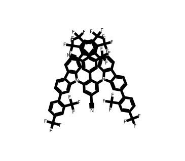 N#Cc1cc(-c2c(-n3c4cc(-c5ccc(C(F)(F)F)cc5C(F)(F)F)ccc4c4ccc(-c5ccc(C(F)(F)F)cc5C(F)(F)F)cc43)cc(C#N)cc2-n2c3cc(-c4ccc(C(F)(F)F)cc4C(F)(F)F)ccc3c3ccc(-c4ccc(C(F)(F)F)cc4C(F)(F)F)cc32)cc(C(F)(F)F)c1